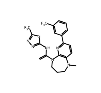 C=C(Nc1nnc(C(F)(F)F)s1)N1CCCN(C)c2ccc(-c3cccc(C(F)(F)F)c3)nc21